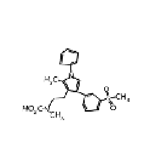 Cc1c(CCN(C)C(=O)O)c(-c2cccc(S(C)(=O)=O)c2)cn1-c1ccccc1